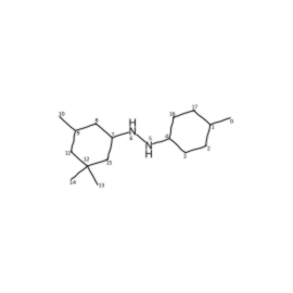 CC1CCC(NNC2CC(C)CC(C)(C)C2)CC1